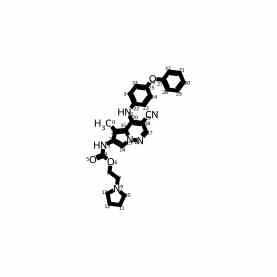 Cc1c(NC(=O)OCCN2CCCC2)cn2ncc(C#N)c(Nc3ccc(Oc4ccccc4)cc3)c12